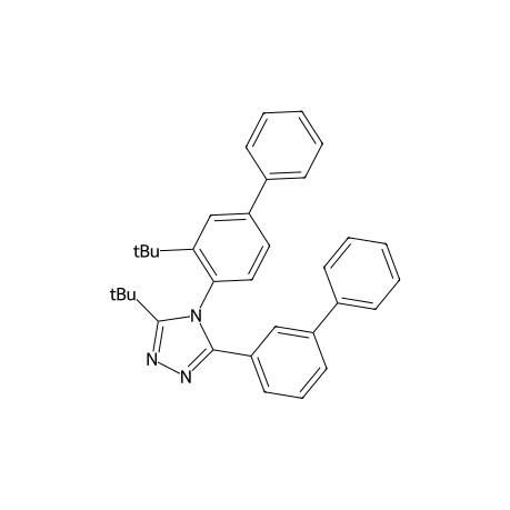 CC(C)(C)c1cc(-c2ccccc2)ccc1-n1c(-c2cccc(-c3ccccc3)c2)nnc1C(C)(C)C